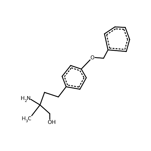 CC(N)(CO)CCc1ccc(OCc2ccccc2)cc1